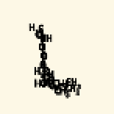 CCC(=O)NCCOCCOCCO[C@H]1CC[C@@]2(C)C(=C[C@@H](O)[C@H]3[C@@H]4CC[C@H]([C@H](C)CCCC(C)C)[C@@]4(C)CC[C@@H]32)C1